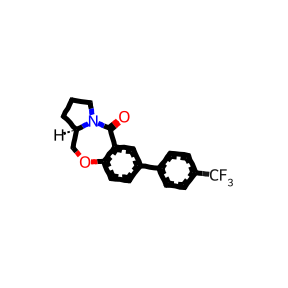 O=C1c2cc(-c3ccc(C(F)(F)F)cc3)ccc2OC[C@H]2CCCN12